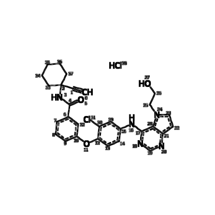 C#CC1(NC(=O)c2cccc(Oc3ccc(Nc4ncnc5ccn(CCO)c45)cc3Cl)c2)CCCCC1.Cl